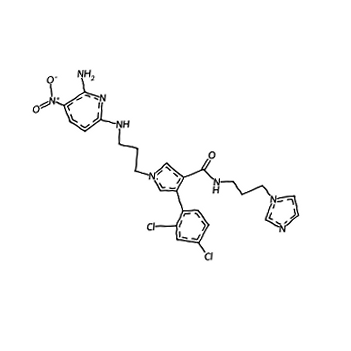 Nc1nc(NCCCn2cc(C(=O)NCCCn3ccnc3)c(-c3ccc(Cl)cc3Cl)c2)ccc1[N+](=O)[O-]